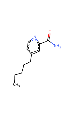 CCCCCc1ccnc(C(N)=O)c1